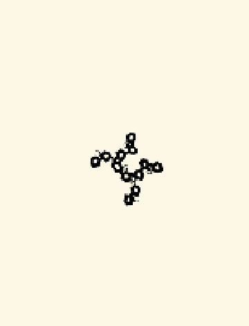 c1ccc2c(c1)oc1ccc(-n3c4ccc(-c5cccc6c5oc5ccccc56)cc4c4c5sc6c(ccc7c6c6cc(-c8cccc9c8oc8ccccc89)ccc6n7-c6ccc7oc8ccccc8c7c6)c5ccc43)cc12